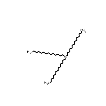 CCCCCCCCCCCCC[CH2][Al]([CH2]CCCCCCCCCCCCC)[CH2]CCCCCCCCCCCCC